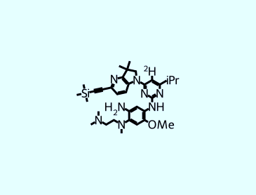 [2H]c1c(C(C)C)nc(Nc2cc(N)c(N(C)CCN(C)C)cc2OC)nc1N1CC(C)(C)c2nc(C#C[Si](C)(C)C)ccc21